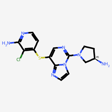 Nc1nccc(Sc2cnc(N3CC[C@@H](N)C3)n3ccnc23)c1Cl